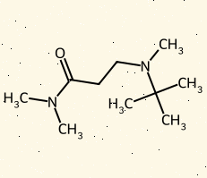 CN(C)C(=O)CCN(C)C(C)(C)C